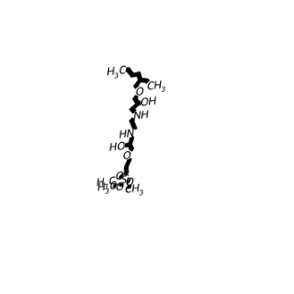 CCCCC(CC)COCC(O)CNCCNCC(O)COCCC[Si](OC)(OC)OC